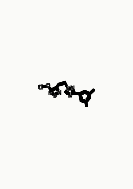 Cc1cc(C)cc(-c2ncn(/C=C\c3nsnc3OCl)n2)c1